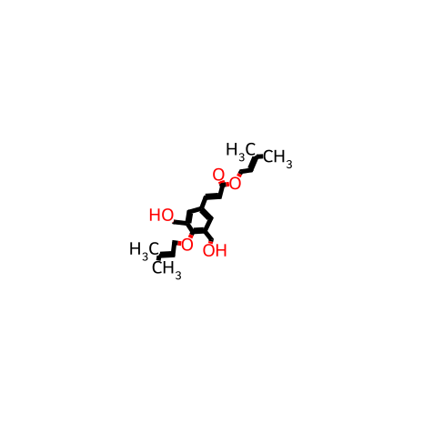 CC(C)=CCOC(=O)/C=C/c1cc(CO)c(OCC=C(C)C)c(CO)c1